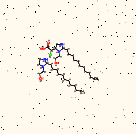 CCCCCCCCCCCC1NCC(C(Cl)C(=O)O)N1CCO.CCCCCCCCCCCC1NCCN1CCO